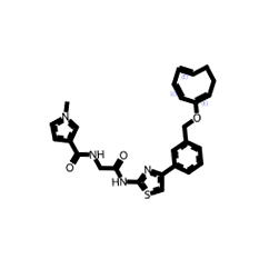 Cn1ccc(C(=O)NCC(=O)Nc2nc(-c3cccc(COC4=C/CC/C=C/C=C\4)c3)cs2)c1